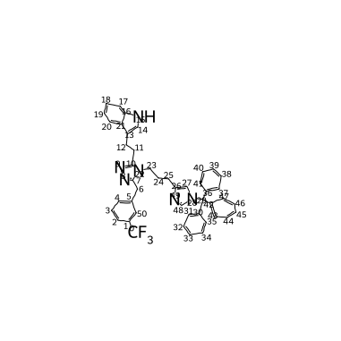 FC(F)(F)c1cccc(Cc2nnc(CCc3c[nH]c4ccccc34)n2CCCc2cn(C(c3ccccc3)(c3ccccc3)c3ccccc3)cn2)c1